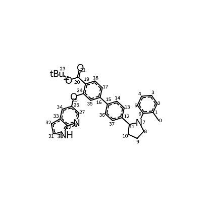 Cc1ccccc1N1CCCC1c1ccc(-c2ccc(C(=O)OC(C)(C)C)c(Oc3cnc4[nH]ccc4c3)c2)cc1